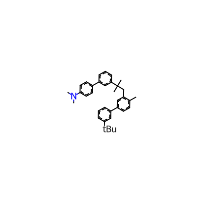 Cc1ccc(-c2cccc(C(C)(C)C)c2)cc1CC(C)(C)c1cccc(-c2ccc(N(C)C)cc2)c1